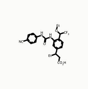 CCOC(c1ccc(C(CC)CC(=O)O)cc1NC(=O)Nc1ccc(C#N)cc1)C(F)(F)F